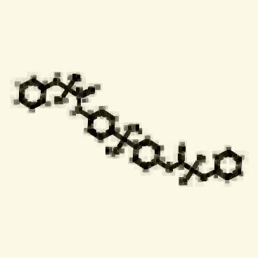 CCC(CC)(Oc1ccccc1)[PH](=O)Oc1ccc(C(C)(C)c2ccc(O[PH](=O)C(CC)(CC)Oc3ccccc3)cc2)cc1